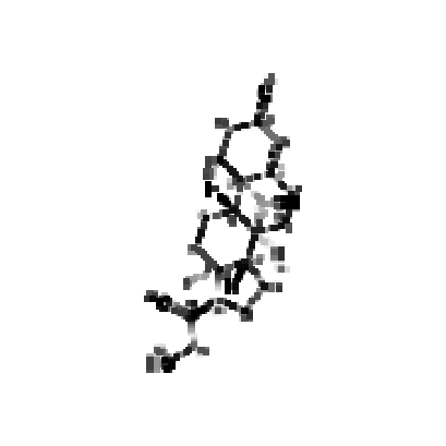 C[C@]12CC[C@H]3[C@@H](CCC4=CC(=O)CC[C@@]43CO)[C@@H]1CC[C@H]2C(=O)CO